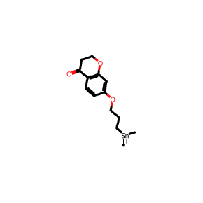 [CH3][SnH]([CH3])[CH2]CCOc1ccc2c(c1)OCCC2=O